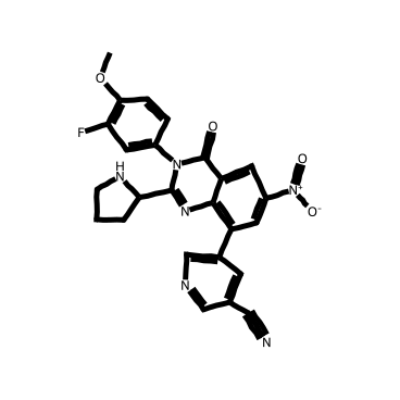 COc1ccc(-n2c(C3CCCN3)nc3c(-c4cncc(C#N)c4)cc([N+](=O)[O-])cc3c2=O)cc1F